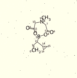 C=CC(B1OC(=O)CN(C)CC(=O)O1)C1=CC1